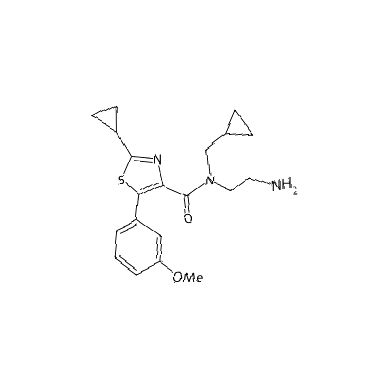 COc1cccc(-c2sc(C3CC3)nc2C(=O)N(CCN)CC2CC2)c1